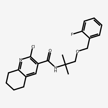 CC(C)(COCc1ccccc1F)NC(=O)c1cc2c(nc1Cl)CCCC2